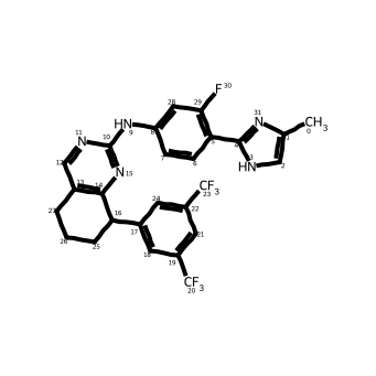 Cc1c[nH]c(-c2ccc(Nc3ncc4c(n3)C(c3cc(C(F)(F)F)cc(C(F)(F)F)c3)CCC4)cc2F)n1